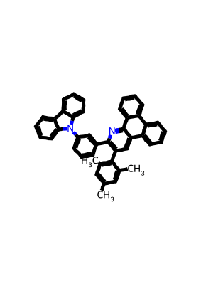 Cc1cc(C)c(-c2cc3c4ccccc4c4ccccc4c3nc2-c2cccc(-n3c4ccccc4c4ccccc43)c2)c(C)c1